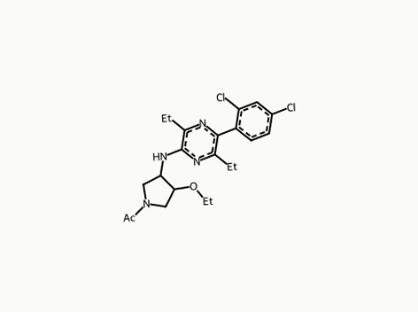 CCOC1CN(C(C)=O)CC1Nc1nc(CC)c(-c2ccc(Cl)cc2Cl)nc1CC